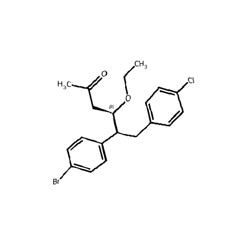 CCO[C@H](CC(C)=O)C(Cc1ccc(Cl)cc1)c1ccc(Br)cc1